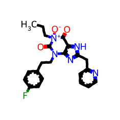 CCC[N+]1([O-])C(=O)c2[nH]c(Cc3ccccn3)nc2N(CCc2ccc(F)cc2)C1=O